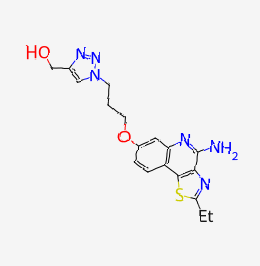 CCc1nc2c(N)nc3cc(OCCCn4cc(CO)nn4)ccc3c2s1